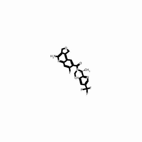 CCN(C(=O)c1cc2c3c(c(N)nc2cc1F)COC3)[C@H](C)c1ccc(C(F)(F)F)cn1